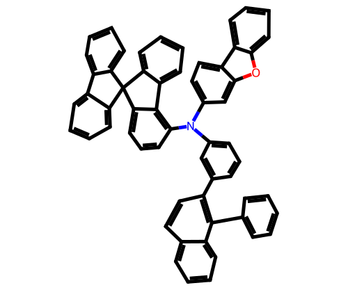 c1ccc(-c2c(-c3cccc(N(c4ccc5c(c4)oc4ccccc45)c4cccc5c4-c4ccccc4C54c5ccccc5-c5ccccc54)c3)ccc3ccccc23)cc1